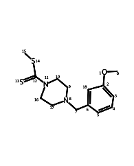 COc1cccc(CN2CCN(C(=S)SC)CC2)c1